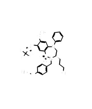 CCCC[C@@H]1CN(c2ccccc2)c2cc(OC)c(OS(=O)(=O)C(F)(F)F)cc2S(=O)(=O)N1Cc1ccc(OC)cc1